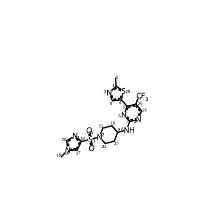 Cc1ncc(-c2nc(NC3CCN(S(=O)(=O)c4cn(C)cn4)CC3)ncc2C(F)(F)F)s1